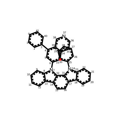 c1ccc(-c2cc(-n3c4ccccc4c4ccc5c6ccccc6n(-c6ccccc6)c5c43)cc3ccncc23)cc1